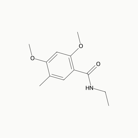 CCNC(=O)c1cc(C)c(OC)cc1OC